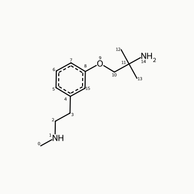 CNCCc1cccc(OCC(C)(C)N)c1